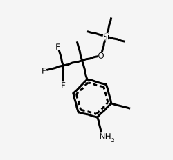 Cc1cc(C(C)(O[Si](C)(C)C)C(F)(F)F)ccc1N